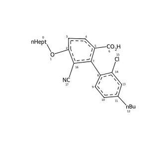 CCCCCCCOc1ccc(C(=O)O)c(-c2ccc(CCCC)cc2Cl)c1C#N